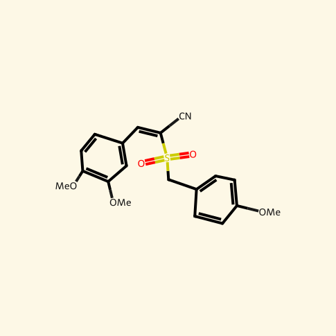 COc1ccc(CS(=O)(=O)/C(C#N)=C\c2ccc(OC)c(OC)c2)cc1